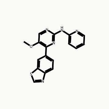 COc1cnc(Nc2cc[c]cn2)nc1-c1ccc2ncsc2c1